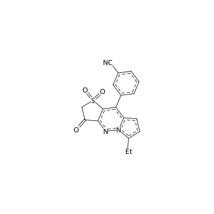 CCc1ccc2c(-c3cccc(C#N)c3)c3c(nn12)C(=O)CS3(=O)=O